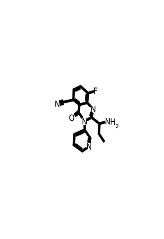 CCC(N)c1nc2c(F)ccc(C#N)c2c(=O)n1-c1cccnc1